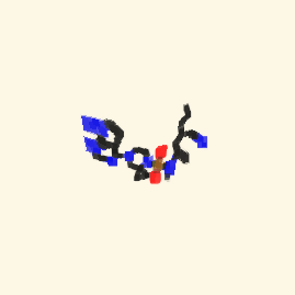 CCCC(C#N)CC(C)N(C)S(=O)(=O)N1CCN(c2ncnc3[nH]ccc23)CC12CC2